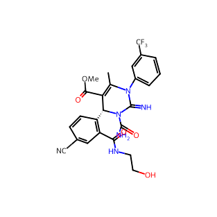 COC(=O)C1=C(C)N(c2cccc(C(F)(F)F)c2)C(=N)N(C(N)=O)[C@@H]1c1ccc(C#N)cc1C(=O)NCCO